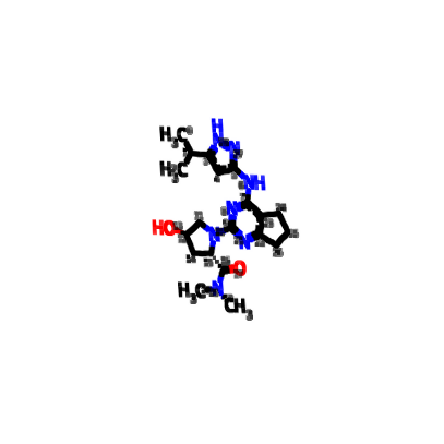 CC(C)c1cc(Nc2nc(N3C[C@H](O)C[C@H]3C(=O)N(C)C)nc3c2CCC3)n[nH]1